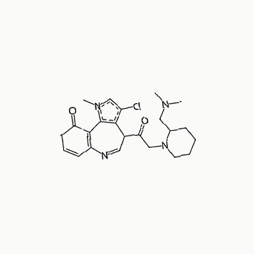 CN(C)CC1CCCCN1CC(=O)C1C=NC2=C(C(=O)CC=C2)c2c1c(Cl)cn2C